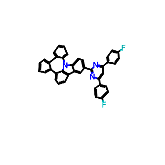 Fc1ccc(-c2cc(-c3ccc(F)cc3)nc(-c3ccc4c(c3)c3cccc5c3n4-c3ccccc3-c3ccccc3-5)n2)cc1